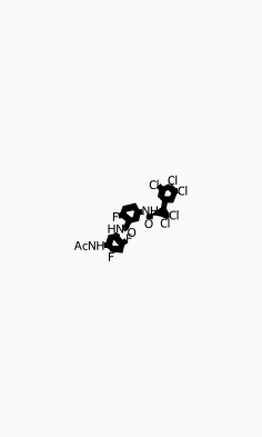 CC(=O)Nc1cc(NC(=O)c2cc(NC(=O)[C@H]3C(c4cc(Cl)c(Cl)c(Cl)c4)C3(Cl)Cl)ccc2F)c(F)cc1F